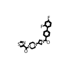 O=C(c1ccc(-c2ccc(F)cc2F)cc1)N1CC(N2CCN(C(=O)c3cscn3)CC2)C1